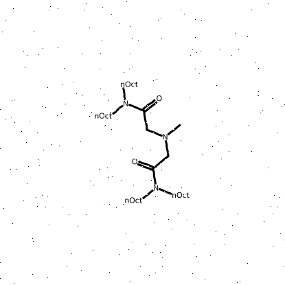 CCCCCCCCN(CCCCCCCC)C(=O)CN(C)CC(=O)N(CCCCCCCC)CCCCCCCC